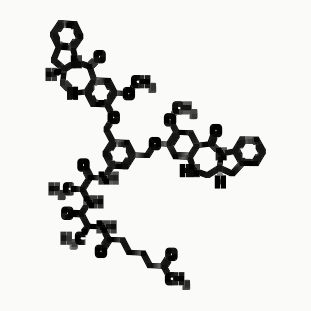 COC1=C(OCc2cc(COc3cc4c(cc3OC)C(=O)N3c5ccccc5C[C@H]3C=N4)cc(NC(=O)[C@H](C)NC(=O)[C@H](C)NC(=O)CCCCC(C)=O)c2)C=C2NC[C@@H]3Cc4ccccc4N3C(=O)C2C1